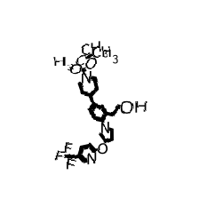 CC(C)(C)OC(=O)N1CCC(c2ccc(N3CCC(Oc4ccc(C(F)(F)F)cn4)C3)c(CCO)c2)CC1